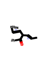 C/C=C/C(/C=C/CCCCCC)C(=O)C(C)C